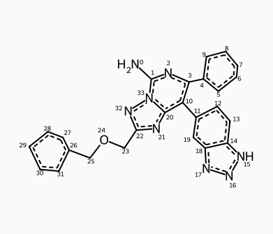 Nc1nc(-c2ccccc2)c(-c2ccc3[nH]nnc3c2)c2nc(COCc3ccccc3)nn12